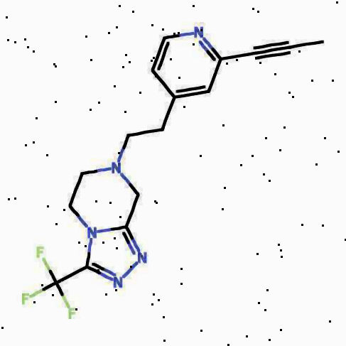 CC#Cc1cc(CCN2CCn3c(nnc3C(F)(F)F)C2)ccn1